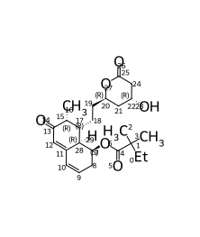 CCC(C)(C)C(=O)O[C@H]1CC=CC2=CC(=O)[C@H](C)[C@H](CC[C@@H]3C[C@@H](O)CC(=O)O3)[C@H]21